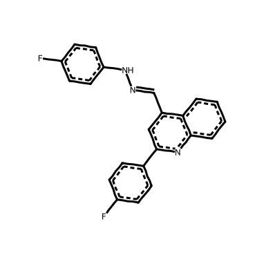 Fc1ccc(N/N=C/c2cc(-c3ccc(F)cc3)nc3ccccc23)cc1